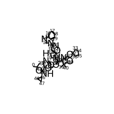 CCC[C@H](NC(=O)[C@@H]1C[C@]2(CC(n3cnc4ccccc43)=NO2)CN1C(=O)[C@@H](NC(=O)OC1CCCC1)C(C)(C)C)C(=O)C(=O)NC1CC1